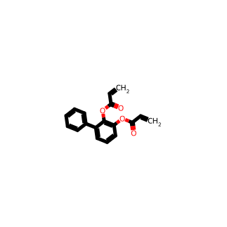 C=CC(=O)Oc1cccc(-c2ccccc2)c1OC(=O)C=C